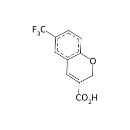 O=C(O)C1=Cc2cc(C(F)(F)F)ccc2OC1